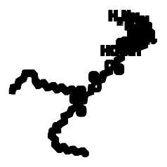 CCCCC/C=C\C/C=C\CCCCCCCC(=O)O[C@@H](CCOC(=O)/C=C/COC(=O)CC[C@H](NC(=O)c1ccc(N(C)Cc2cnc3nc(N)nc(N)c3n2)cc1)C(=O)O)COC(=O)CCCCCC/C=C\C/C=C\CCCCCC